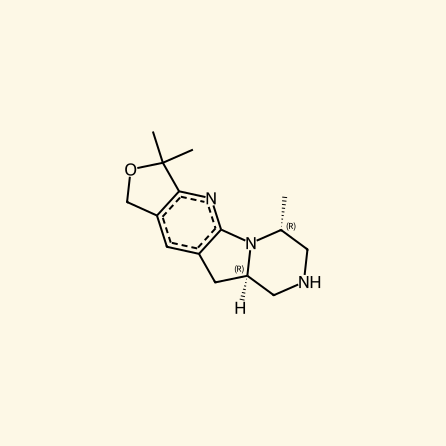 C[C@@H]1CNC[C@H]2Cc3cc4c(nc3N21)C(C)(C)OC4